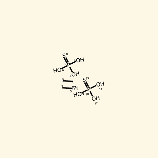 CC.CC(C)C.OP(O)(O)=S.OP(O)(O)=S